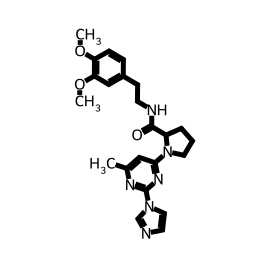 COc1ccc(CCNC(=O)C2CCCN2c2cc(C)nc(-n3ccnc3)n2)cc1OC